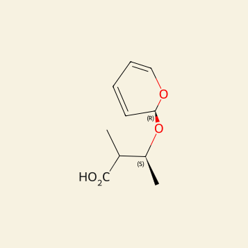 CC(C(=O)O)[C@H](C)O[C@H]1C=CC=CO1